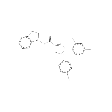 O=C(NN1CCc2ccccc21)C1=NN(c2ccc(Cl)cc2Cl)[C@H](c2ccc(Br)cc2)C1